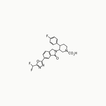 O=C(O)N1CCC(c2ccc(F)cc2)C(N2Cc3ccc(-c4nnc(C(F)F)o4)cc3C2=O)C1